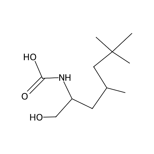 CC(CC(CO)NC(=O)O)CC(C)(C)C